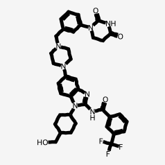 O=C1CCN(c2cccc(CN3CCN(c4ccc5c(c4)nc(NC(=O)c4cccc(C(F)(F)F)c4)n5C4CCC(CO)CC4)CC3)c2)C(=O)N1